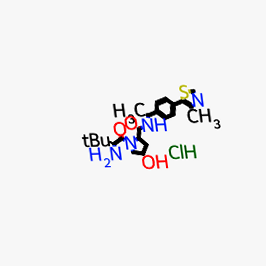 Cc1ncsc1-c1ccc([C@H](C)NC(=O)C2C[C@@H](O)CN2C(=O)[C@@H](N)C(C)(C)C)cc1.Cl